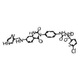 O=C(Nc1ccc(-n2c(=O)[nH]c3cc(NCc4c[nH]cn4)ccc3c2=O)cc1)NS(=O)(=O)c1ccc(Cl)s1